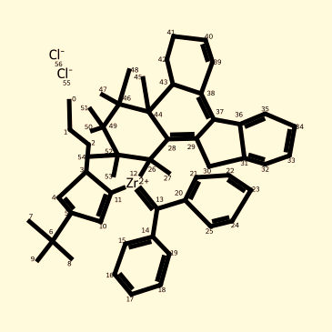 CCCC1C=C(C(C)(C)C)C=[C]1[Zr+2](=[C](c1ccccc1)c1ccccc1)[C]1(C)C2=C3Cc4ccccc4C3=C3C=CCCC3C2(C)C(C)(C)C(C)(C)C1(C)C.[Cl-].[Cl-]